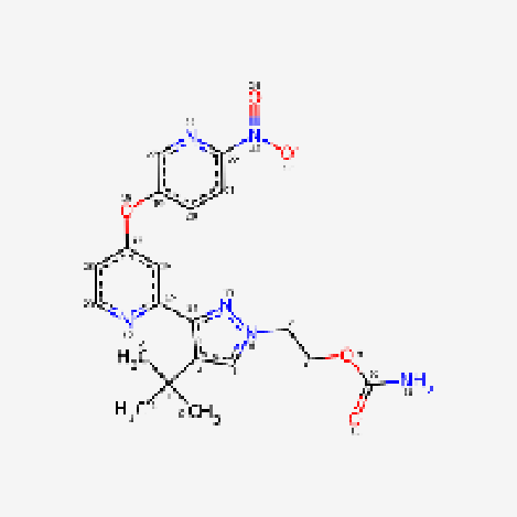 CC(C)(C)c1cn(CCOC(N)=O)nc1-c1cc(Oc2ccc([N+](=O)[O-])nc2)ccn1